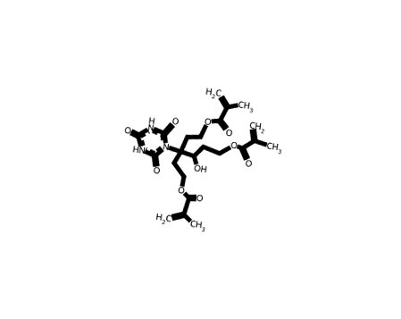 C=C(C)C(=O)OCCC(O)C(CCOC(=O)C(=C)C)(CCOC(=O)C(=C)C)n1c(=O)[nH]c(=O)[nH]c1=O